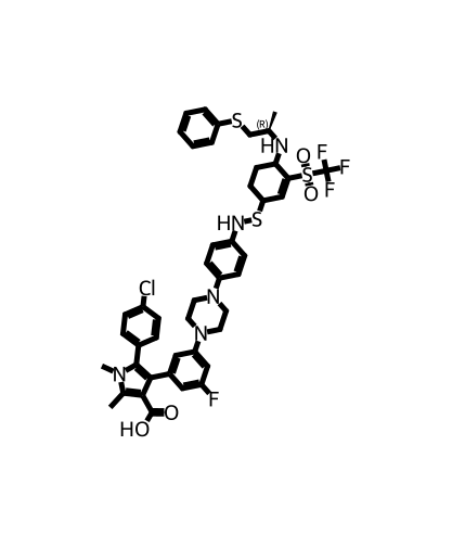 Cc1c(C(=O)O)c(-c2cc(F)cc(N3CCN(c4ccc(NSC5C=C(S(=O)(=O)C(F)(F)F)C(N[C@H](C)CSc6ccccc6)CC5)cc4)CC3)c2)c(-c2ccc(Cl)cc2)n1C